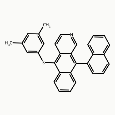 Cc1cc(C)cc(Sc2c3ccccc3c(-c3cccc4ccccc34)c3cnccc23)c1